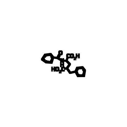 O=C(N[C@H](CC(Cc1ccccc1)C(=O)O)C(=O)O)c1ccccc1